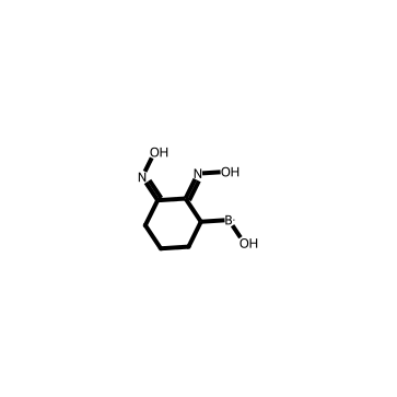 O[B]C1CCCC(=NO)C1=NO